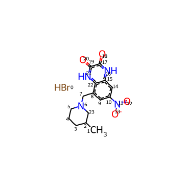 Br.CC1CCCN(Cc2cc([N+](=O)[O-])cc3[nH]c(=O)c(=O)[nH]c23)C1